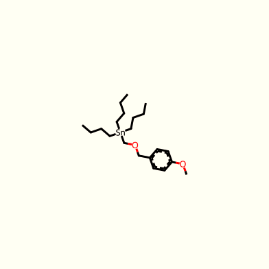 CCC[CH2][Sn]([CH2]CCC)([CH2]CCC)[CH2]OCc1ccc(OC)cc1